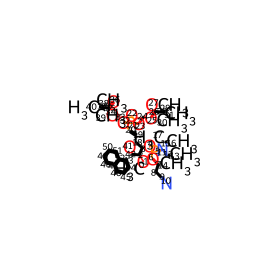 CO[C@@H]1[C@H](OP(OCCC#N)N(C(C)C)C(C)C)[C@@H](/C=C/P(=O)(OCOC(=O)C(C)(C)C)OCOC(=O)C(C)(C)C)O[C@H]1c1cccc2ccccc12